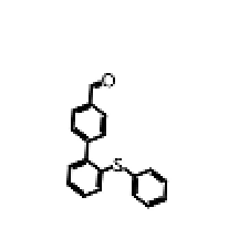 O=Cc1ccc(-c2ccccc2Sc2ccccc2)cc1